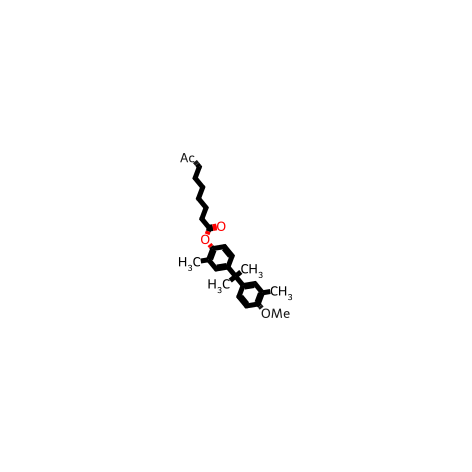 COc1ccc(C(C)(C)c2ccc(OC(=O)CCCCCCC(C)=O)c(C)c2)cc1C